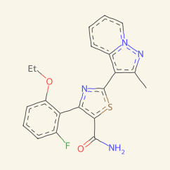 CCOc1cccc(F)c1-c1nc(-c2c(C)nn3ccccc23)sc1C(N)=O